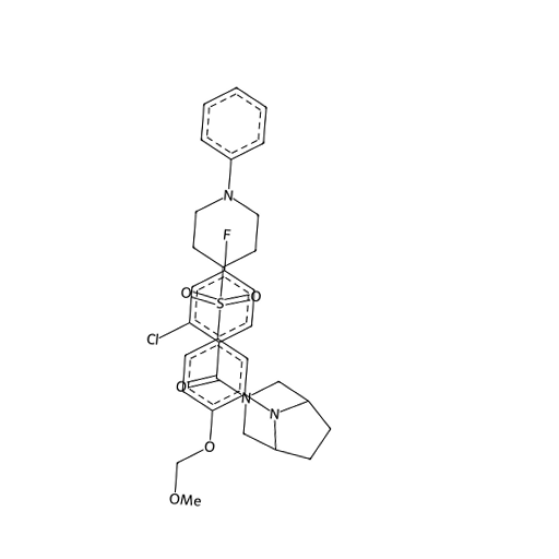 COCOc1ccc(S(=O)(=O)C2CCN(c3ccccc3)CC2)cc1N1C2CCC1CN(C(=O)c1ccc(F)cc1Cl)C2